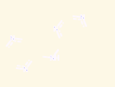 c1ccc2c(Nc3cnccn3)ncnc2c1